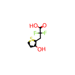 O=C(O)C(F)(F)Cc1sccc1O